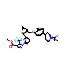 CCOC(=O)c1cnn(-c2cccc(-c3sc(C)cc3COc3ccc(C4CCN(C(=O)CC)CC4)cc3C)n2)c1C(F)(F)F